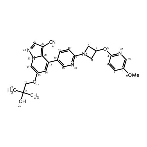 COc1ccc(OC2CN(c3ccc(-c4cc(OCC(C)(C)O)cn5ncc(C#N)c45)cn3)C2)nc1